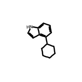 c1cc(C2CCCCC2)c2cc[nH]c2c1